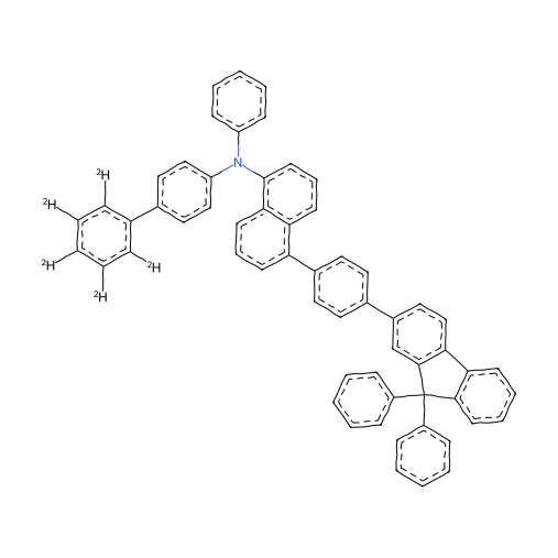 [2H]c1c([2H])c([2H])c(-c2ccc(N(c3ccccc3)c3cccc4c(-c5ccc(-c6ccc7c(c6)C(c6ccccc6)(c6ccccc6)c6ccccc6-7)cc5)cccc34)cc2)c([2H])c1[2H]